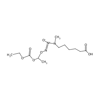 CCOC(=O)OC(C)ON=[N+]([O-])N(C)CCCCCC(=O)O